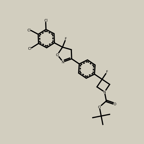 CC(C)(C)OC(=O)N1CC(F)(c2ccc(C3=NOC(F)(c4cc(Cl)c(Cl)c(Cl)c4)C3)cc2)C1